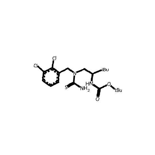 CCC(C)C(CN(Cc1cccc(Cl)c1Cl)C(N)=S)NC(=O)OC(C)(C)C